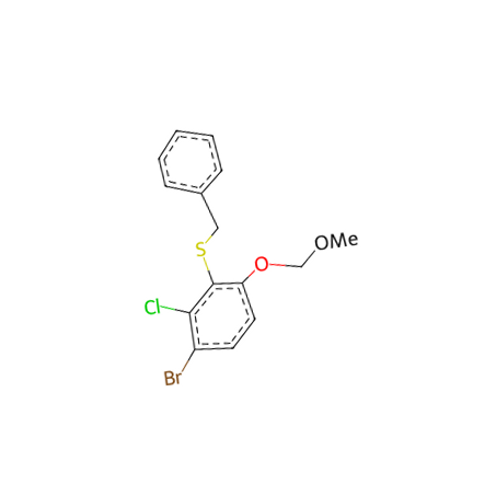 COCOc1ccc(Br)c(Cl)c1SCc1ccccc1